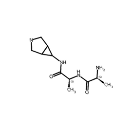 C[C@H](N)C(=O)N[C@@H](C)C(=O)NC1C2C[N]CC21